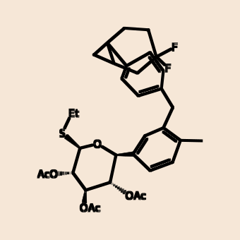 CCS[C@H]1O[C@@H](c2ccc(C)c(Cc3ccc(C45CCC(F)(F)CC4C5)cc3)c2)[C@H](OC(C)=O)[C@@H](OC(C)=O)[C@@H]1OC(C)=O